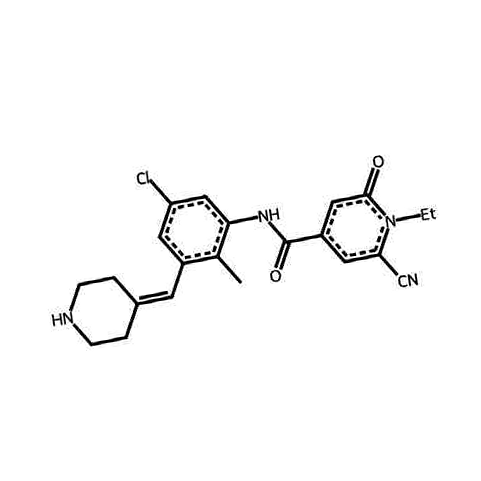 CCn1c(C#N)cc(C(=O)Nc2cc(Cl)cc(C=C3CCNCC3)c2C)cc1=O